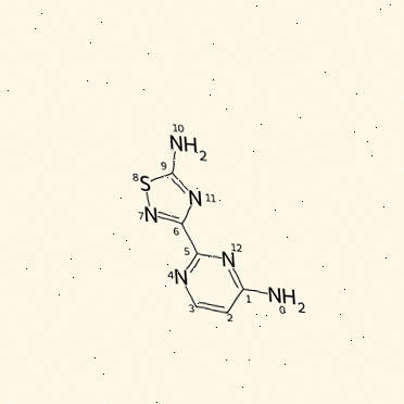 Nc1ccnc(-c2nsc(N)n2)n1